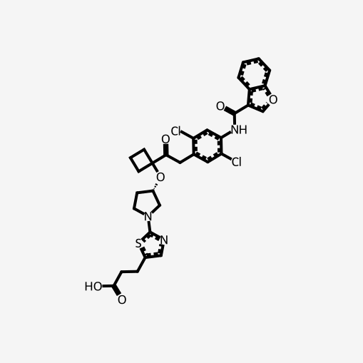 O=C(O)CCc1cnc(N2CC[C@H](OC3(C(=O)Cc4cc(Cl)c(NC(=O)c5coc6ccccc56)cc4Cl)CCC3)C2)s1